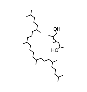 CC(C)CCCC(C)CCCC(C)CCCCC(C)CCCC(C)CCCC(C)C.CC(O)COC(C)CO